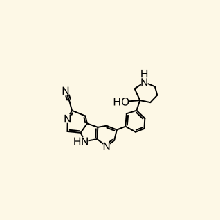 N#Cc1cc2c(cn1)[nH]c1ncc(-c3cccc(C4(O)CCCNC4)c3)cc12